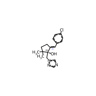 CC1(C)CC/C(=C\c2ccc(Cl)cc2)[C@]1(O)Cn1cncn1